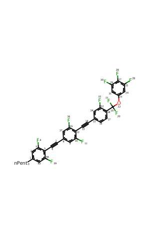 CCCCCc1cc(F)c(C#Cc2cc(F)c(C#Cc3ccc(C(F)(F)Oc4cc(F)c(F)c(F)c4)c(F)c3)c(F)c2)c(F)c1